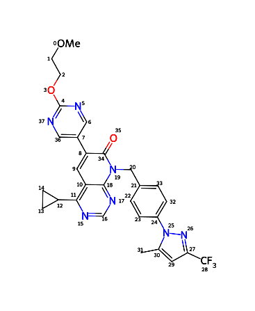 COCCOc1ncc(-c2cc3c(C4CC4)ncnc3n(Cc3ccc(-n4nc(C(F)(F)F)cc4C)cc3)c2=O)cn1